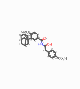 COc1ccc(C(=O)NC(O)Cc2ccc(C(=O)O)cc2)cc1C12CC3CC(CC(C3)C1)C2